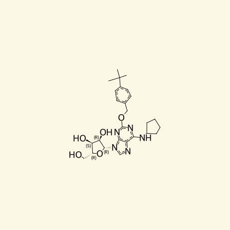 CC(C)(C)c1ccc(COc2nc(NC3CCCC3)c3ncn([C@@H]4O[C@H](CO)[C@@H](O)[C@H]4O)c3n2)cc1